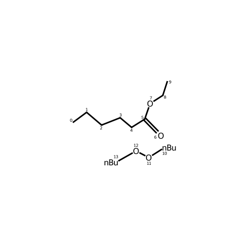 CCCCCC(=O)OCC.CCCCOOCCCC